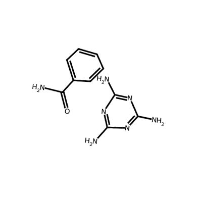 NC(=O)c1ccccc1.Nc1nc(N)nc(N)n1